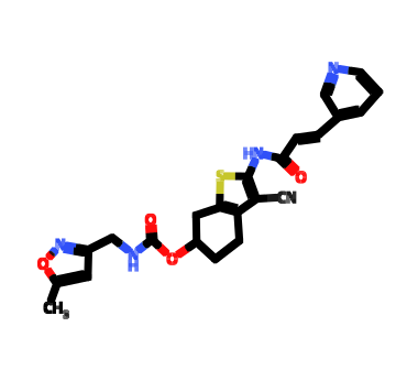 Cc1cc(CNC(=O)OC2CCc3c(sc(NC(=O)C=Cc4cccnc4)c3C#N)C2)no1